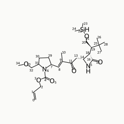 C=CCOC(=O)N1C(C=C(C)C(=O)C[C@H]2NC(=O)[C@H]2[C@@H](CO[SiH](C)C)C(C)(C)C)CCC1COC